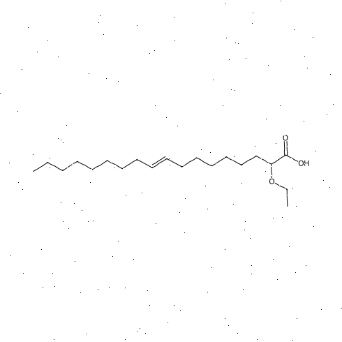 CCCCCCCCC=CCCCCCCC(OCC)C(=O)O